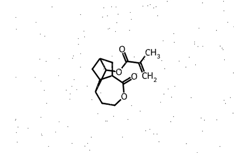 C=C(C)C(=O)OC1C2CC3C(=O)OCCC1C3C2